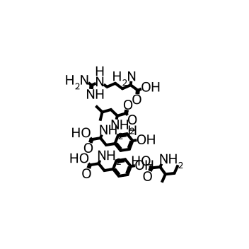 CC(C)CC(N)C(=O)O.CCC(C)C(N)C(=O)O.N=C(N)NCCCC(N)C(=O)O.NC(Cc1ccc(O)cc1)C(=O)O.NC(Cc1ccc(O)cc1)C(=O)O